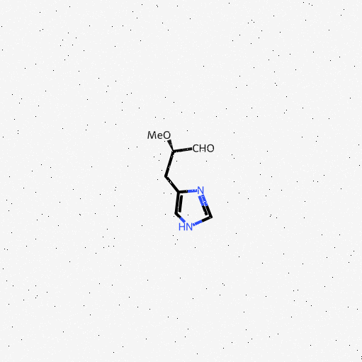 CO[C@@H](C=O)Cc1c[nH]cn1